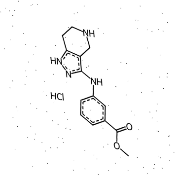 COC(=O)c1cccc(Nc2n[nH]c3c2CNCC3)c1.Cl